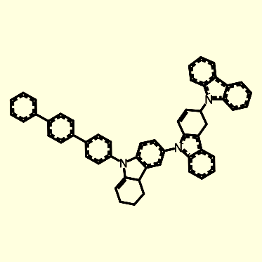 C1=CC(n2c3ccccc3c3ccccc32)Cc2c1n(-c1ccc3c(c1)C1CCCC=C1N3c1ccc(-c3ccc(-c4ccccc4)cc3)cc1)c1ccccc21